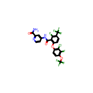 NC(=O)c1cc(NC(=O)c2c(Oc3ccc(OC(F)(F)F)c(F)c3Cl)ccc(C(F)(F)F)c2F)ccn1